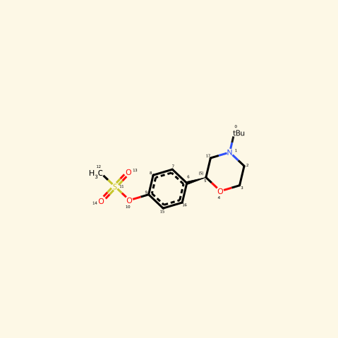 CC(C)(C)N1CCO[C@@H](c2ccc(OS(C)(=O)=O)cc2)C1